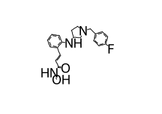 O=C(C=Cc1ccccc1NC1CCN(Cc2ccc(F)cc2)C1)NO